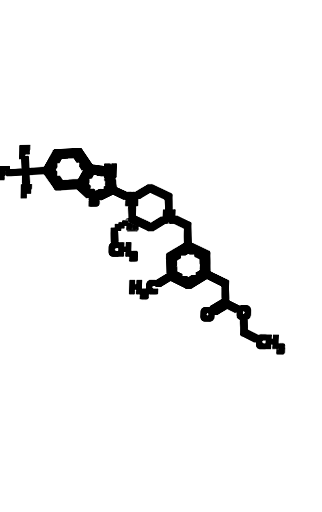 CCOC(=O)Cc1cc(C)cc(CN2CCN(c3nc4ccc(C(F)(F)F)cc4s3)[C@@H](CC)C2)c1